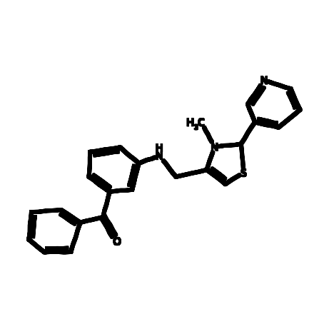 CN1C(CNc2cccc(C(=O)c3ccccc3)c2)=CSC1c1cccnc1